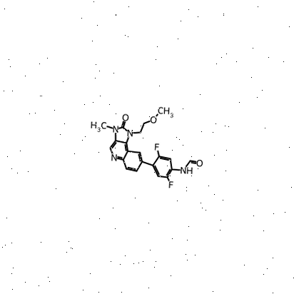 COCCn1c(=O)n(C)c2cnc3ccc(-c4cc(F)c(NC=O)cc4F)cc3c21